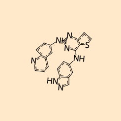 c1cnc2ccc(Nc3nc(Nc4ccc5[nH]ncc5c4)c4sccc4n3)cc2c1